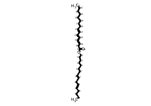 CCCC/C=C/CCCCCCCCCCOC(=O)C/C=C/C=C/C=C/CCCCCCCC